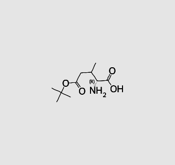 CC(CC(=O)OC(C)(C)C)[C@@H](N)C(=O)O